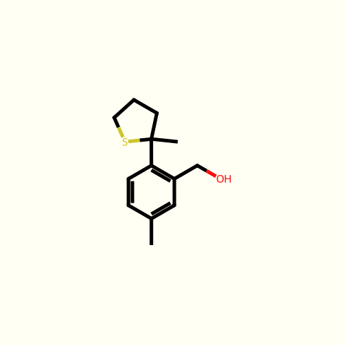 Cc1ccc(C2(C)CCCS2)c(CO)c1